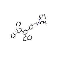 C/C=C/C(C)=N\Cc1ccc(-c2cc(-c3cc(-c4ccccc4)nc(-c4ccccc4)c3)cc(-c3cccc4ccccc34)c2)cc1